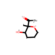 CC(C)(C)C(=O)C1(C)OCCCC1O